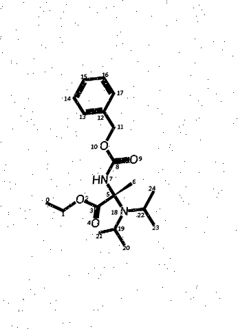 CCOC(=O)[C@](C)(NC(=O)OCc1ccccc1)N(C(C)C)C(C)C